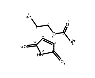 CCCC(=O)OCCC(C)C.O=C1C=CC(=O)N1